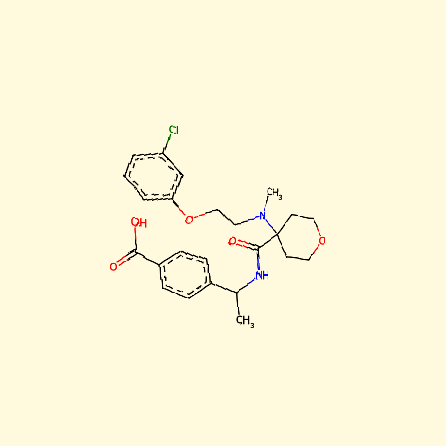 CC(NC(=O)C1(N(C)CCOc2cccc(Cl)c2)CCOCC1)c1ccc(C(=O)O)cc1